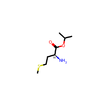 CSCC[C@H](N)C(=O)OC(C)C